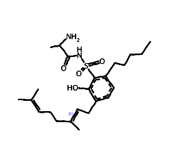 CCCCCc1ccc(C/C=C(\C)CCC=C(C)C)c(O)c1S(=O)(=O)NC(=O)C(C)N